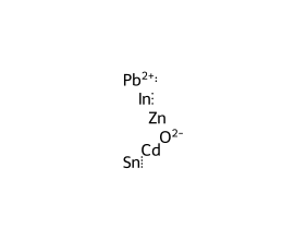 [Cd].[In].[O-2].[Pb+2].[Sn].[Zn]